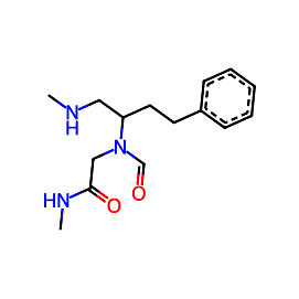 CNCC(CCc1ccccc1)N(C=O)CC(=O)NC